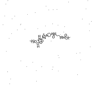 CC(C)(C)OC(=O)NCCCCCC(=O)NC1CCN(c2nc(C(=O)N[C@@H](CO[Si](C)(C)C(C)(C)C)C(=O)O)cs2)CC1